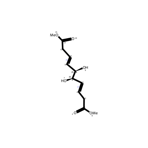 COC(=O)C/C=C/[C@@H](O)[C@H](O)/C=C/CC(=O)OC